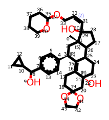 C[C@]12C[C@H](c3ccc(C(O)C4CC4)cc3)C3=C4CCC5(C[C@]4(O)CCC3C1CC[C@@]2(O)/C=C\COC1CCCCO1)OCCO5